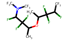 CC(OC(C)C(F)(F)C(F)C(F)(F)F)C(F)(F)C(F)N(C(F)(F)F)C(F)(F)F